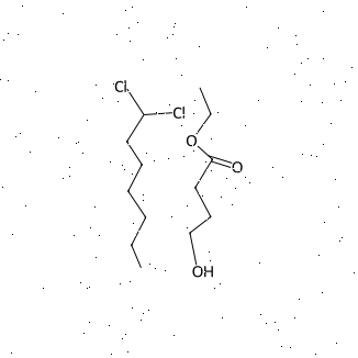 CCCCCCC(Cl)Cl.CCOC(=O)CCCO